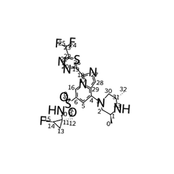 C[C@H]1CN(c2cc(S(=O)(=O)N[C@@]3(C)C[C@H]3F)cn3c(-c4nnc(C(F)F)s4)ncc23)C[C@H](C)N1